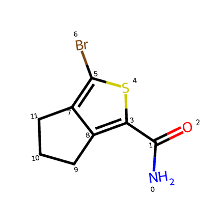 NC(=O)c1sc(Br)c2c1CCC2